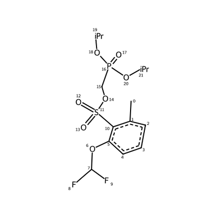 Cc1cccc(OC(F)F)c1S(=O)(=O)OCP(=O)(OC(C)C)OC(C)C